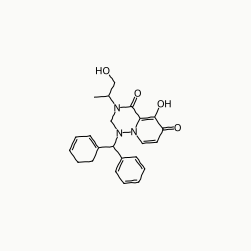 CC(CO)N1CN(C(C2=CC=CCC2)c2ccccc2)n2ccc(=O)c(O)c2C1=O